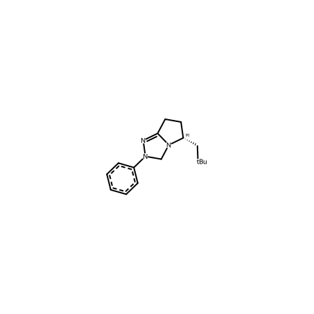 CC(C)(C)C[C@H]1CCC2=NN(c3ccccc3)CN21